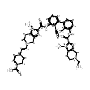 CCN1CCc2c(nc(C(=O)Nc3cccc(-c4cccc(NC(=O)c5nc6c(n5C)CCN(CCC5CCC(C(=O)O)CC5)C6)c4C#N)c3Cl)n2C)C1